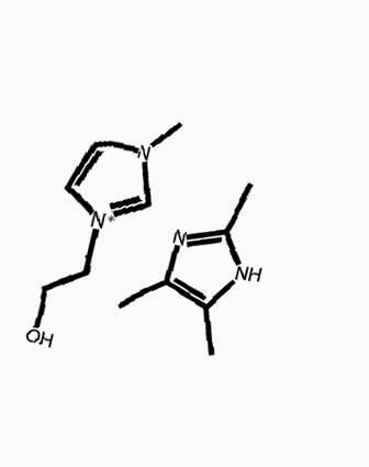 Cc1nc(C)c(C)[nH]1.Cn1cc[n+](CCO)c1